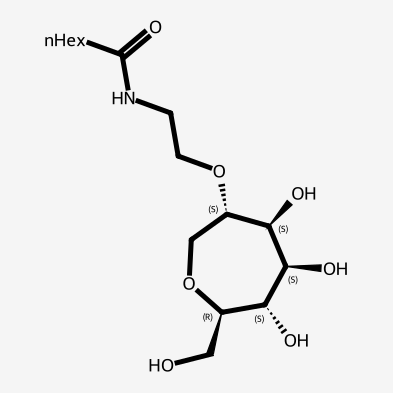 CCCCCCC(=O)NCCO[C@H]1CO[C@H](CO)[C@@H](O)[C@H](O)[C@@H]1O